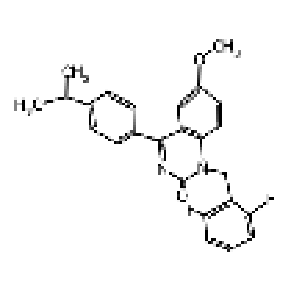 COc1ccc2c(c1)c(-c1ccc(C(C)C)cc1)nc(=O)n2Cc1c(F)cccc1F